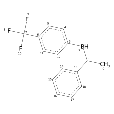 CC(Bc1ccc(C(F)(F)F)cc1)c1ccccc1